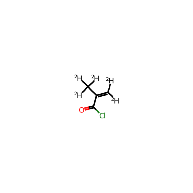 [2H]C([2H])=C(C(=O)Cl)C([2H])([2H])[2H]